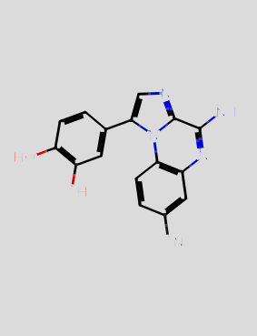 N#Cc1ccc2c(c1)nc(N)c1ncc(-c3ccc(O)c(O)c3)n12